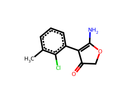 Cc1cccc(C2=C(N)OCC2=O)c1Cl